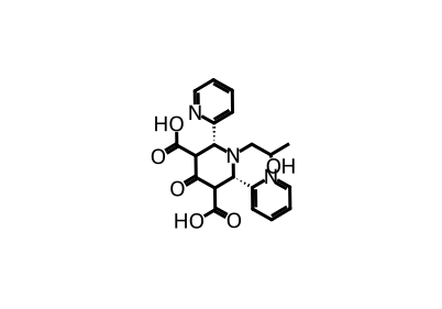 CC(O)CN1[C@H](c2ccccn2)C(C(=O)O)C(=O)C(C(=O)O)[C@@H]1c1ccccn1